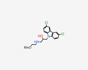 COCCNCC(O)Cn1c2ccc(Cl)cc2c2cc(Cl)ccc21